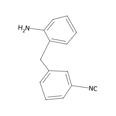 [C-]#[N+]c1cccc(Cc2ccccc2N)c1